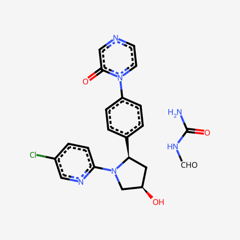 NC(=O)NC=O.O=c1cnccn1-c1ccc([C@H]2C[C@@H](O)CN2c2ccc(Cl)cn2)cc1